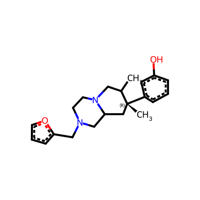 CC1CN2CCN(Cc3ccco3)CC2C[C@@]1(C)c1cccc(O)c1